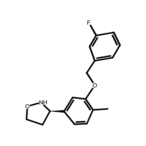 Cc1ccc([C@H]2CCON2)cc1OCc1cccc(F)c1